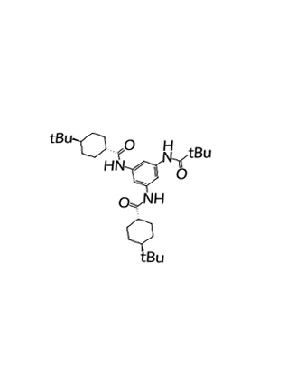 CC(C)(C)C(=O)Nc1cc(NC(=O)[C@H]2CC[C@H](C(C)(C)C)CC2)cc(NC(=O)[C@H]2CC[C@H](C(C)(C)C)CC2)c1